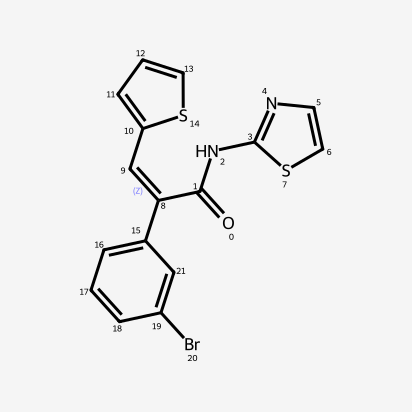 O=C(Nc1nccs1)/C(=C\c1cccs1)c1cccc(Br)c1